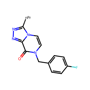 CCCc1nnc2c(=O)n(Cc3ccc(F)cc3)ccn12